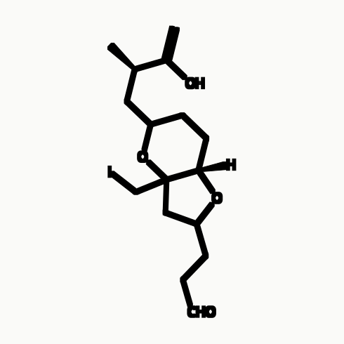 C=C(O)[C@H](C)CC1CC[C@@H]2OC(CCC=O)CC2(CI)O1